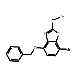 CC(C)Oc1nc2c(OCc3ccccc3)ccc(Br)c2o1